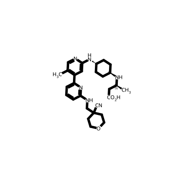 Cc1cnc(N[C@H]2CC[C@H](N[C@@H](C)CC(=O)O)CC2)cc1-c1cccc(NCC2(C#N)CCOCC2)n1